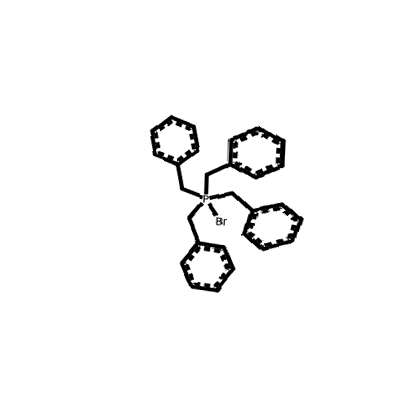 BrP(Cc1ccccc1)(Cc1ccccc1)(Cc1ccccc1)Cc1ccccc1